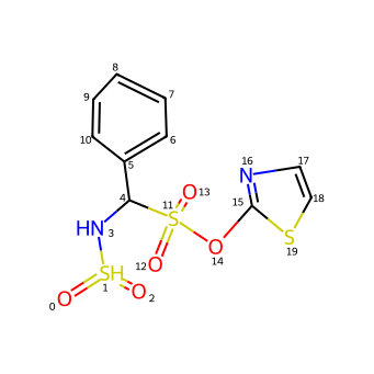 O=[SH](=O)NC(c1ccccc1)S(=O)(=O)Oc1nccs1